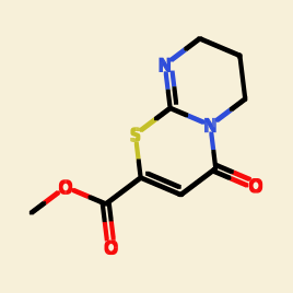 COC(=O)C1=CC(=O)N2CCCN=C2S1